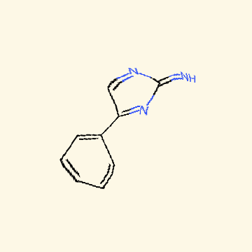 N=C1N=CC(c2ccccc2)=N1